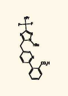 CCCCn1nc(C(F)(F)CCC)nc1Cc1ccc(-c2ccccc2C(=O)O)nc1